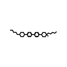 CCCCCC1CCC(c2ccc(-c3ccc(C4CCC(F)(CCCCC)CC4)cc3)cc2)CC1